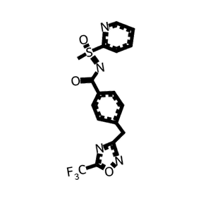 CS(=O)(=NC(=O)c1ccc(Cc2noc(C(F)(F)F)n2)cc1)c1ccccn1